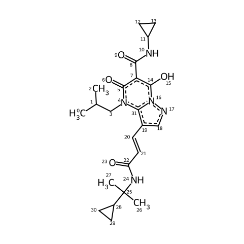 CC(C)Cn1c(=O)c(C(=O)NC2CC2)c(O)n2ncc(/C=C/C(=O)NC(C)(C)C3CC3)c12